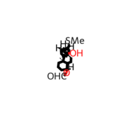 CSC[C@H]1[C@H]2CC[C@@]3(CC[C@H]4[C@@](C)(CCC[C@@]4(C)OC=O)[C@@H]3C2)[C@@H]1O